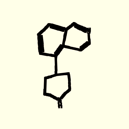 c1cc(C2CCNCC2)c2ccncc2c1